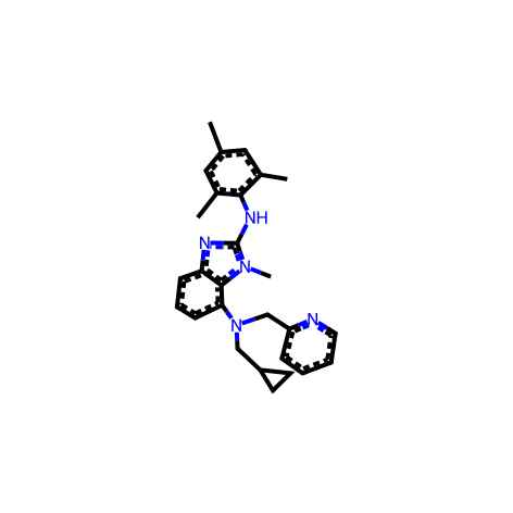 Cc1cc(C)c(Nc2nc3cccc(N(Cc4ccccn4)CC4CC4)c3n2C)c(C)c1